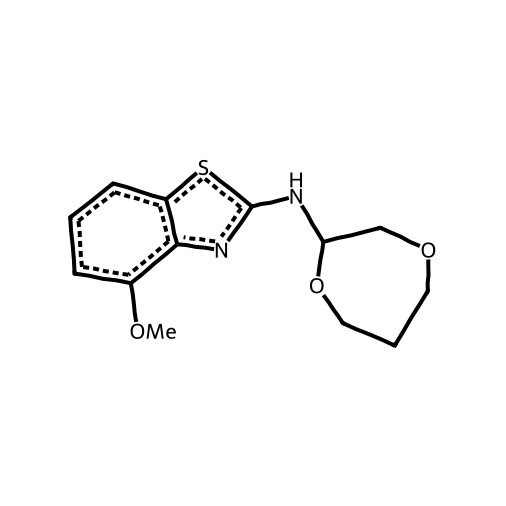 COc1cccc2sc(NC3COCCCO3)nc12